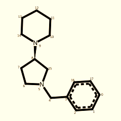 c1ccc(CN2CC[C@@H](N3CCCCC3)C2)cc1